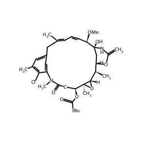 C=C1N[C@]2(O)C[C@H](O1)[C@@H](C)[C@@H]1O[C@@]1(C)[C@@H](OC(=O)C(C)(C)C)CC(=O)N(C)c1cc(cc(C)c1Cl)C/C(C)=C/C=C/[C@H]2OC